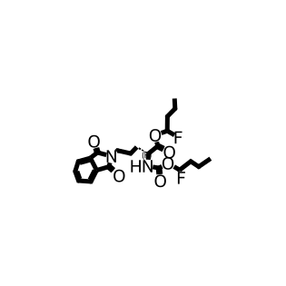 CCCC(F)OC(=O)N[C@H](CCCN1C(=O)c2ccccc2C1=O)C(=O)OC(F)CCC